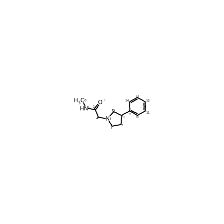 CNC(=O)CN1CCC(c2ccccc2)C1